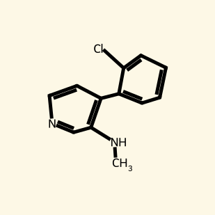 CNc1cnccc1-c1ccccc1Cl